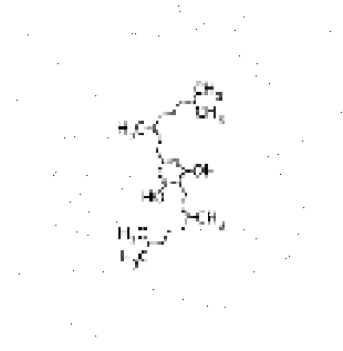 CC(C)=CCC/C(C)=C/Cc1cc(O)c(C/C=C(\C)CCC=C(C)C)c(O)c1